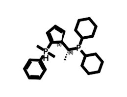 C[C@H]([C@@H]1C=CC=C1[PH](C)(C)c1ccccc1)P(C1CCCCC1)C1CCCCC1